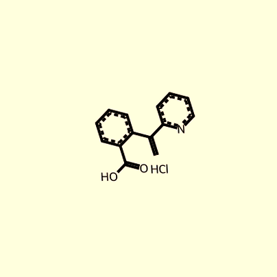 C=C(c1ccccn1)c1ccccc1C(=O)O.Cl